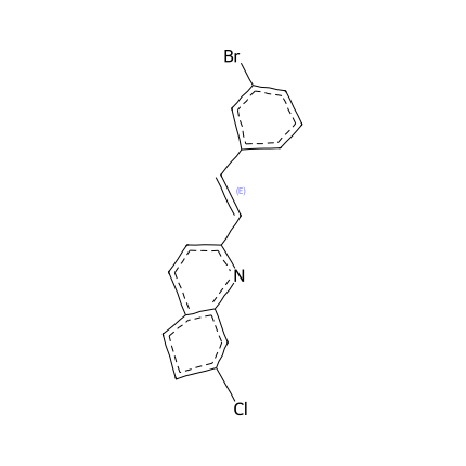 Clc1ccc2ccc(/C=C/c3cccc(Br)c3)nc2c1